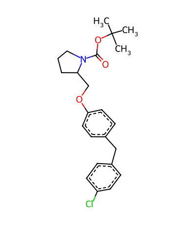 CC(C)(C)OC(=O)N1CCCC1COc1ccc(Cc2ccc(Cl)cc2)cc1